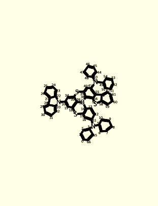 c1ccc(N(c2ccccc2)c2ccc3c(c2)Sc2cc(-n4c5ccccc5c5ccccc54)cc4c2B3c2c(cc(N(c3ccccc3)c3ccccc3)c3c2sc2ccccc23)S4)cc1